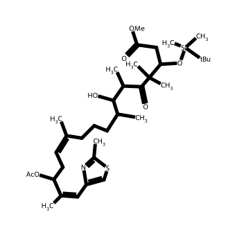 COC(=O)CC(O[Si](C)(C)C(C)(C)C)C(C)(C)C(=O)C(C)C(O)C(C)CCCC(C)=CCC(OC(C)=O)C(C)=Cc1csc(C)n1